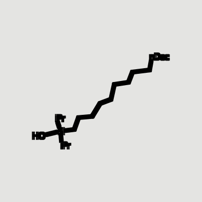 CCCCCCCCCCCCCCCCCCC[Si](O)(C(C)C)C(C)C